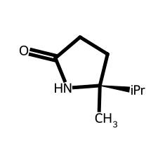 CC(C)[C@]1(C)CCC(=O)N1